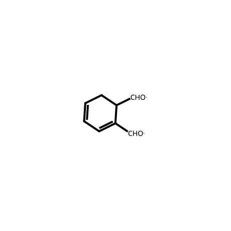 O=[C]C1=CC=CCC1[C]=O